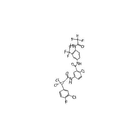 O=C(Nc1ccc(NC(=O)C(F)(F)F)c(C(F)(F)F)c1)c1cc(NC(=O)C2C(c3ccc(F)c(Cl)c3)C2(Cl)Cl)ccc1Cl